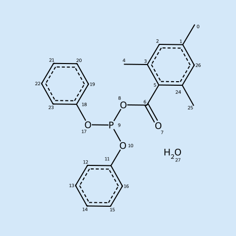 Cc1cc(C)c(C(=O)OP(Oc2ccccc2)Oc2ccccc2)c(C)c1.O